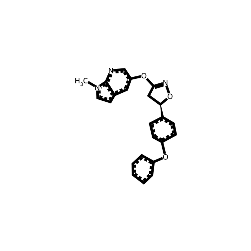 Cn1ccc2cc(OC3=NO[C@@H](c4ccc(Oc5ccccc5)cc4)C3)cnc21